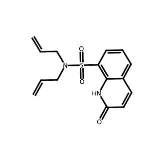 C=CCN(CC=C)S(=O)(=O)c1cccc2ccc(=O)[nH]c12